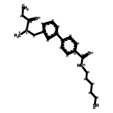 CN(Cc1cccc(-c2ccc(C(=O)NCCCCCO)cc2)c1)C(=O)CN